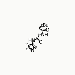 CC(C)(C)OC(=O)NCC(=O)Nc1ccno1